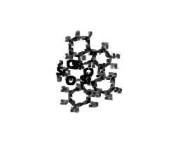 C[Si]1(C)O[Si](c2ccccc2)(c2ccccc2)O[Si](c2ccccc2)(c2ccccc2)O1